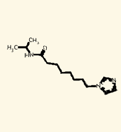 CC(C)NC(=O)CCCCCCCn1c[c]nc1